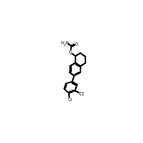 NC(=O)OC1CCCc2cc(-c3ccc(Cl)c(Cl)c3)ccc21